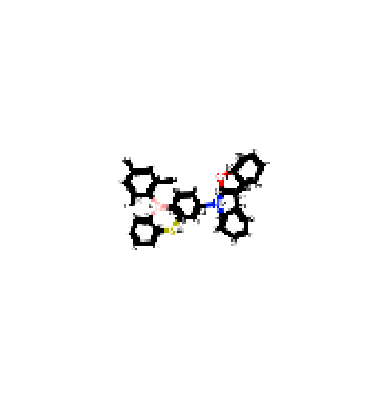 Cc1cc(C)c(B2c3ccccc3Sc3cc(-n4c5ccccc5c5c6ccccc6oc54)ccc32)c(C)c1